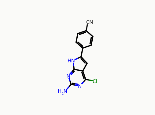 N#Cc1ccc(-c2cc3c(Cl)nc(N)nc3[nH]2)cc1